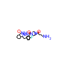 NCCCC(=O)N1CCN(C(=O)c2cc(CC3NNC(=O)C4CCCCC34)ccc2F)CC1